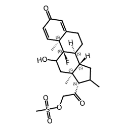 CC1C[C@H]2[C@@H]3CCC4=CC(=O)C=C[C@]4(C)[C@@]3(F)C(O)C[C@]2(C)[C@H]1C(=O)COS(C)(=O)=O